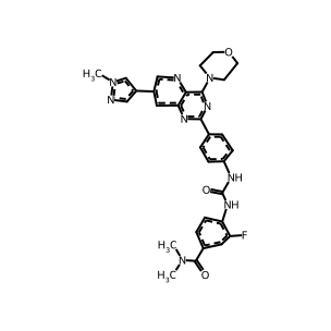 CN(C)C(=O)c1ccc(NC(=O)Nc2ccc(-c3nc(N4CCOCC4)c4ncc(-c5cnn(C)c5)cc4n3)cc2)c(F)c1